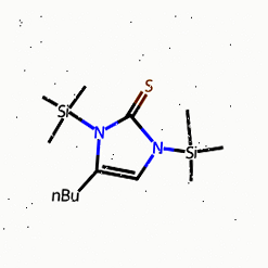 CCCCc1cn([Si](C)(C)C)c(=S)n1[Si](C)(C)C